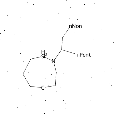 CCCCCCCCCCC(CCCCC)N1CCCCCC[SiH2]1